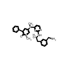 C[C@@H](Cc1cccc(CN)c1)Nc1nccc(N(C)c2cc(-c3ccccc3)c(=O)n(C)c2)n1